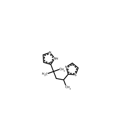 CC(CC(C)(C)c1ccn[nH]1)c1nccs1